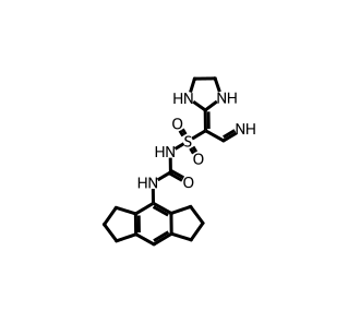 N=CC(=C1NCCN1)S(=O)(=O)NC(=O)Nc1c2c(cc3c1CCC3)CCC2